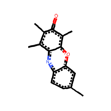 Cc1ccc2nc3c(C)c(C)c(=O)c(C)c-3oc2c1